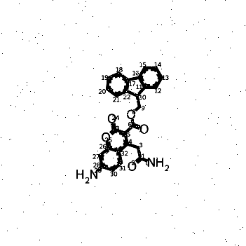 NC(=O)Cc1c(C(=O)OCC2c3ccccc3-c3ccccc32)c(=O)oc2cc(N)ccc12